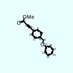 COC(=O)C#Cc1ccc(COc2ccccc2)cc1